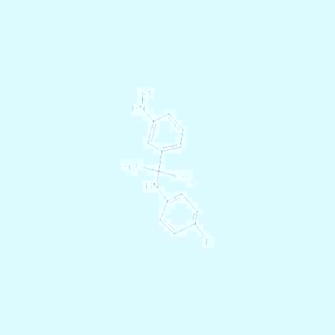 CC(C)Nc1cccc(C(C)(C)Nc2ccc(F)cc2)c1